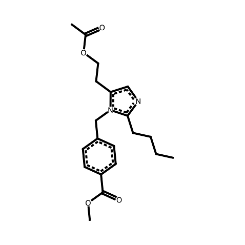 CCCCc1ncc(CCOC(C)=O)n1Cc1ccc(C(=O)OC)cc1